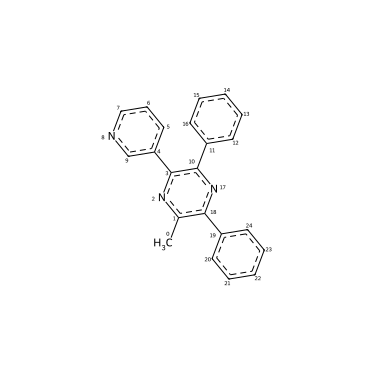 Cc1nc(-c2cccnc2)c(-c2ccccc2)nc1-c1ccccc1